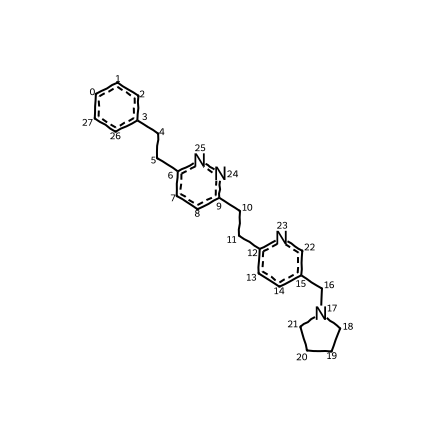 c1ccc(CCc2ccc(CCc3ccc(CN4CCCC4)cn3)nn2)cc1